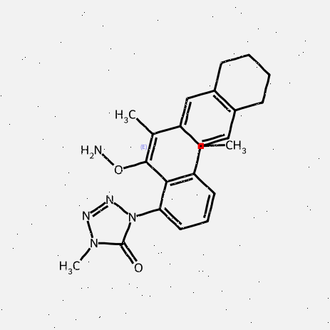 CCc1cccc(-n2nnn(C)c2=O)c1/C(ON)=C(/C)c1ccc2c(c1)CCCC2